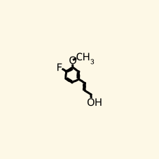 COc1cc(/C=C/CO)ccc1F